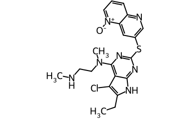 CCc1[nH]c2nc(Sc3cnc4ccc[n+]([O-])c4c3)nc(N(C)CCNC)c2c1Cl